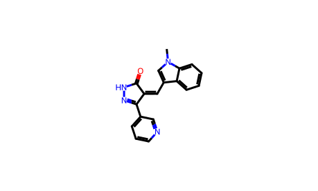 Cn1cc(/C=C2\C(=O)NN=C2c2cccnc2)c2ccccc21